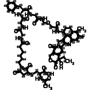 CCC1(O)C(=O)OCc2c1cc1n(c2=O)Cc2c-1nc1cc(F)c(C)c3c1c2[C@@H](NC(=O)COCNC(=O)CNC(=O)[C@H](Cc1ccccc1)NC(=O)CNC(=O)CNC(=O)CCCCCN1C(=O)CC(SC[C@H](NC(C)=O)C(=O)O)C1=O)CC3